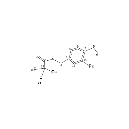 C=C(CCc1ccc(CC)c(F)c1)C(F)(F)F